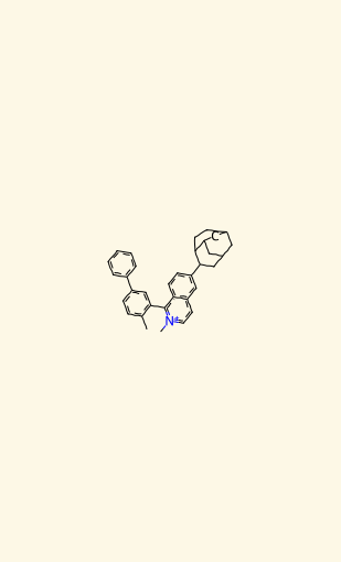 Cc1ccc(-c2ccccc2)cc1-c1c2ccc(C3CC4CC5CCC3C(C5)C4)cc2cc[n+]1C